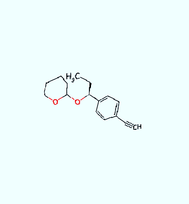 C#Cc1ccc([C@H](CC)OC2CCCCO2)cc1